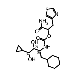 NC(=O)C(Cc1cscn1)OC(=O)N[C@@H](CC1CCCCC1)[C@@H](O)[C@@H](O)C1CC1